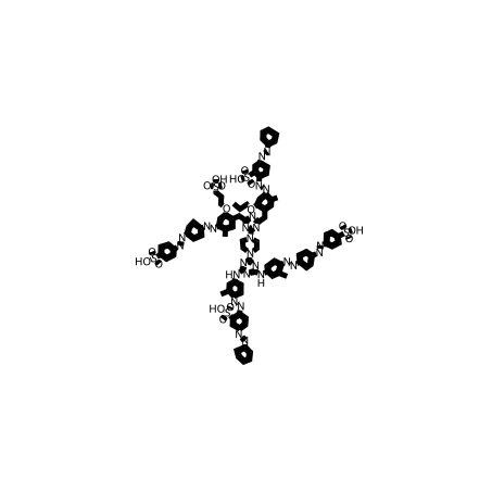 CCCOc1cc(N=Nc2ccc(N=Nc3ccccc3)cc2S(=O)(=O)O)c(C)cc1Cc1nc(Cc2cc(C)c(N=Nc3ccc(N=Nc4ccc(S(=O)(=O)O)cc4)cc3)cc2OCCCS(=O)(=O)O)nc(N2CCN(c3nc(Nc4ccc(N=Nc5ccc(N=Nc6ccc(S(=O)(=O)O)cc6)cc5)c(C)c4)nc(Nc4ccc(N=Nc5ccc(N=Nc6ccccc6)cc5S(=O)(=O)O)c(C)c4)n3)CC2)n1